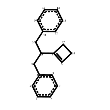 C1=C(C(Cc2ccccc2)Cc2ccccc2)CC1